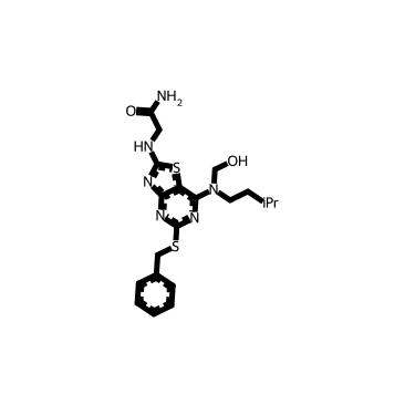 CC(C)CCN(CO)c1nc(SCc2ccccc2)nc2nc(NCC(N)=O)sc12